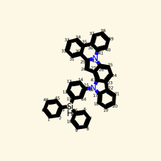 c1ccc([SiH](c2ccccc2)c2cccc(-n3c4ccccc4c4ccc5c(cc6c7ccccc7c7ccccc7n65)c43)c2)cc1